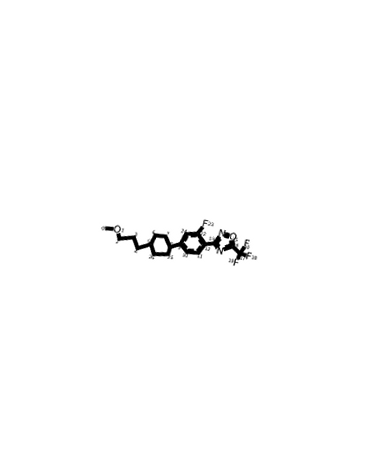 COCCCC1CCC(c2ccc(-c3noc(C(F)(F)F)n3)c(F)c2)CC1